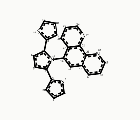 c1csc(-c2ccc(-c3cccs3)n2-c2cc3cccnc3c3ncccc23)c1